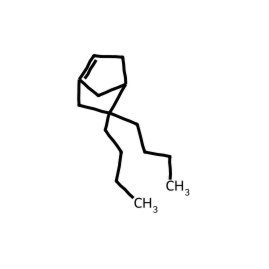 CCCCC1(CCCC)CC2=CCC1C2